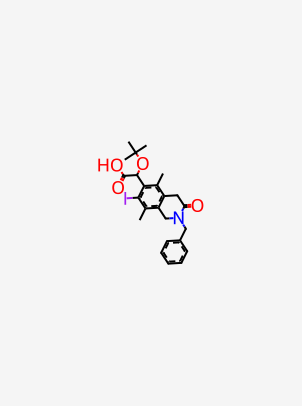 Cc1c(I)c(C(OC(C)(C)C)C(=O)O)c(C)c2c1CN(Cc1ccccc1)C(=O)C2